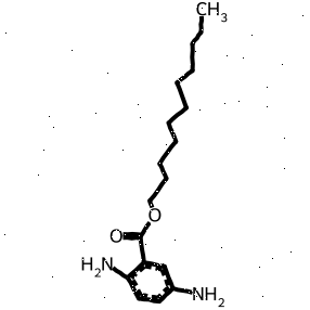 CCCCCCCCCCCOC(=O)c1cc(N)ccc1N